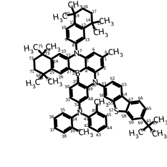 Cc1cc2c3c(c1)N(c1ccc4c(c1)C(C)(C)CCC4(C)C)c1cc4c(cc1B3c1ccc(N(c3ccccc3C)c3ccccc3C)cc1N2c1ccc2c(c1)sc1cc(C(C)(C)C)ccc12)C(C)(C)CCC4(C)C